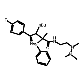 CCCCC1C(c2ccc(F)cc2)=NN(c2ccccc2)C1(C)C(=O)NCCN(C)N(C)C